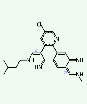 CN/C=C1/C=CC(c2ncc(Cl)cc2/C(C=N)=C/NCCC(C)C)=CC1=N